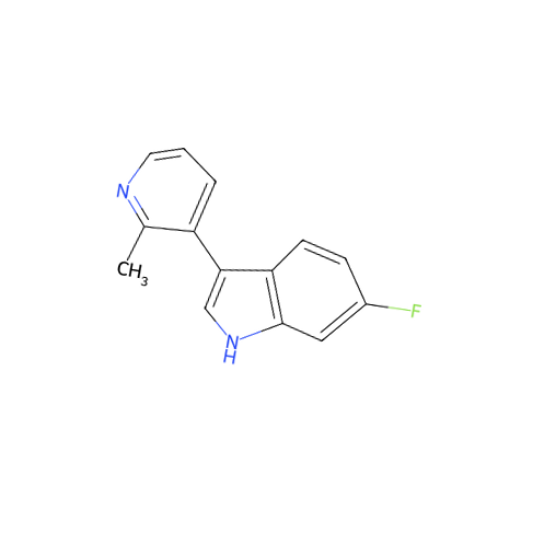 Cc1ncccc1-c1c[nH]c2cc(F)ccc12